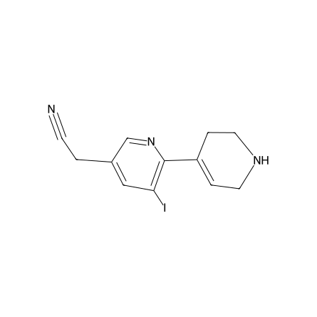 N#CCc1cnc(C2=CCNCC2)c(I)c1